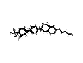 CCCCCC1CCC2CC(c3ccc(-c4ccc(C(F)(F)F)c(F)c4)cc3)CCC2C1